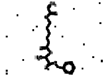 C=CC(=O)OCCCCCC(=O)OC(C)C(=O)OCc1ccccc1